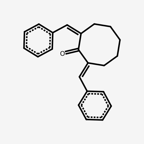 O=C1/C(=C\c2ccccc2)CCCCC/C1=C\c1ccccc1